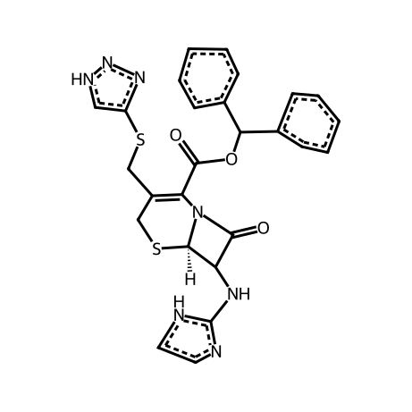 O=C(OC(c1ccccc1)c1ccccc1)C1=C(CSc2c[nH]nn2)CS[C@@H]2C(Nc3ncc[nH]3)C(=O)N12